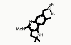 CCCN(CC)Cc1cc2nc(NC)c3c(c2cc1C)NC(C)(C)C3